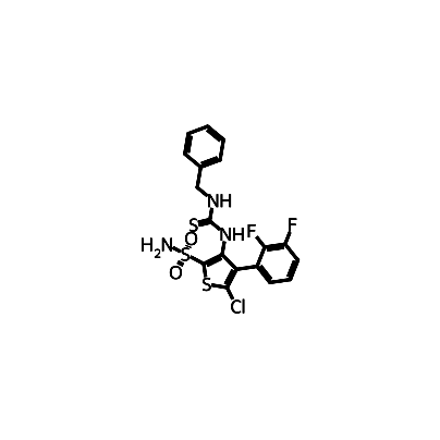 NS(=O)(=O)c1sc(Cl)c(-c2cccc(F)c2F)c1NC(=S)NCc1ccccc1